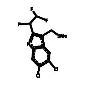 CSCn1c(C(F)C(F)F)nc2cc(Cl)c(Cl)cc21